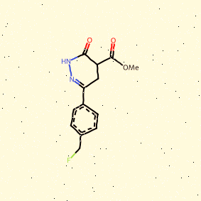 COC(=O)C1CC(c2ccc(CF)cc2)=NNC1=O